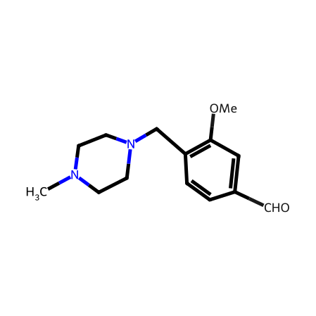 COc1cc(C=O)ccc1CN1CCN(C)CC1